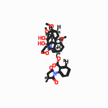 [3H]c1cccc(N2C(=O)C[C@H](C)C2=O)c1C(=O)OC[C@@]12CC[C@H](OC)[C@@]34[C@@H]5C[C@H]6[C@H](OC)[C@@H]5[C@](O)(C[C@@H]6OC)[C@](O)([C@@H](OC)[C@H]13)[C@H]4N(CC)C2